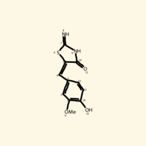 COc1cc(C=C2SC(=N)NC2=O)ccc1O